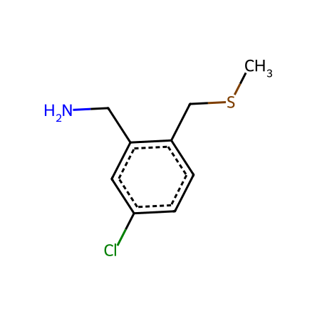 CSCc1ccc(Cl)cc1CN